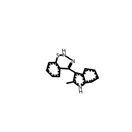 Cc1[nH]c2ccccc2c1C1=NNSc2ccccc21